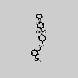 O=S(=O)(c1ccc(N2CCCC2)nc1)N1CCC(=NOCc2cccc(C(F)(F)F)c2)CC1